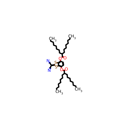 CCCCCCCCC(CCCCCCCC)C(=O)Oc1ccc(OC(=O)C(CCCCCCCC)CCCCCCCC)c2c1SC(=C(C#N)C#N)S2